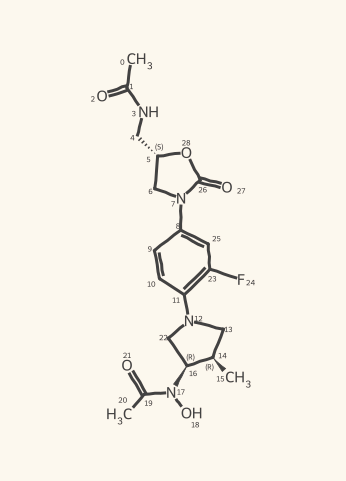 CC(=O)NC[C@H]1CN(c2ccc(N3C[C@@H](C)[C@@H](N(O)C(C)=O)C3)c(F)c2)C(=O)O1